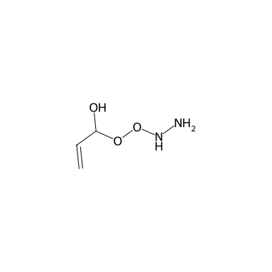 C=CC(O)OONN